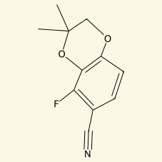 CC1(C)COc2ccc(C#N)c(F)c2O1